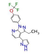 CCc1nn(-c2ccc(OC(F)(F)F)cc2)c2nccc(-c3cc[nH]n3)c12